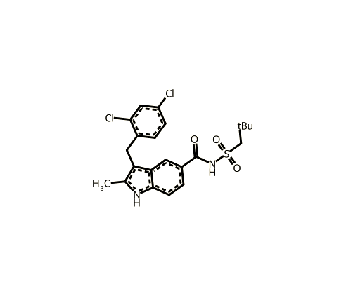 Cc1[nH]c2ccc(C(=O)NS(=O)(=O)CC(C)(C)C)cc2c1Cc1ccc(Cl)cc1Cl